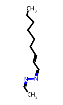 C/C=N\N=C/C=CCCCCCC